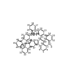 CC(C)c1cccc2ccc(-c3cccc(-c4ccccc4Nc4ccc5c(c4)C4(c6ccccc6-c6ccccc64)c4ccccc4-5)c3)c(-c3ccccc3)c12